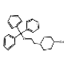 OC1CCC(CCOC(c2ccccc2)(c2ccccc2)c2ccccc2)CC1